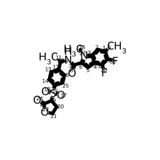 Cc1cc2c(cc(C(=O)N[C@H](C)c3ccc(S(=O)(=O)C4CCOC4=O)cc3)n2C)c(F)c1F